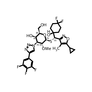 CO[C@@H]1[C@@H](n2cc(-c3cc(F)c(F)c(F)c3)nn2)[C@@H](O)[C@@H](CO)O[C@H]1S[C@@H](c1noc(C2CC2)c1C)C1(O)CCC(F)(F)CC1